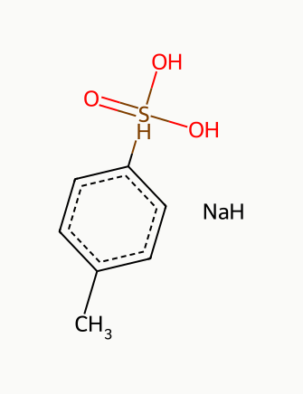 Cc1ccc([SH](=O)(O)O)cc1.[NaH]